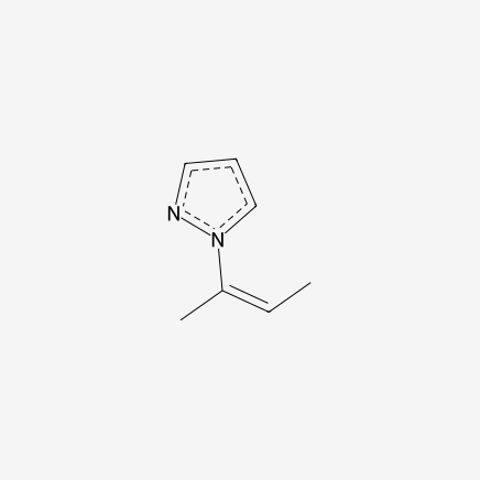 C/C=C(/C)n1cccn1